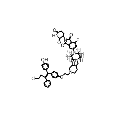 [2H]C1([2H])N(CC2CCN(CCOc3ccc(C(=C(CCCl)c4ccccc4)c4ccc(O)cc4)cc3)CC2)C([2H])([2H])C([2H])([2H])N(c2cc(F)c3c(c2)C(=O)N(C2CCC(=O)NC2=O)C3=O)C1([2H])[2H]